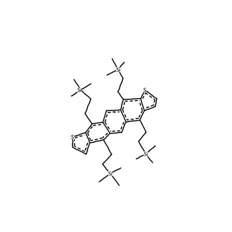 C[Si](C)(C)CCc1c2cc3c(CC[Si](C)(C)C)c4ccsc4c(CC[Si](C)(C)C)c3cc2c(CC[Si](C)(C)C)c2sccc12